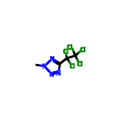 Cn1nnc(C(Cl)(Cl)C(Cl)(Cl)Cl)n1